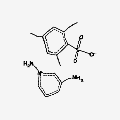 Cc1cc(C)c(S(=O)(=O)[O-])c(C)c1.Nc1ccc[n+](N)c1